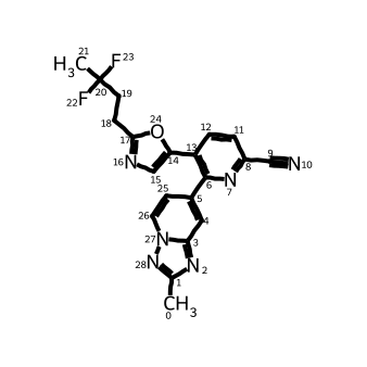 Cc1nc2cc(-c3nc(C#N)ccc3-c3cnc(CCC(C)(F)F)o3)ccn2n1